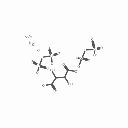 O=C([O-])C(O)C(O)C(=O)[O-].[K+].[K+].[K+].[O]=[Cr](=[O])([O-])[O][Cr](=[O])(=[O])[O-].[O]=[Cr](=[O])([O-])[O][Cr](=[O])(=[O])[O-].[Sb+3]